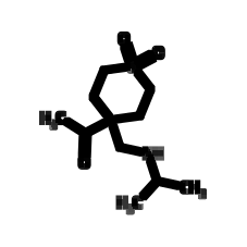 CC(=O)C1(CNC(C)C)CCS(=O)(=O)CC1